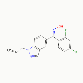 C=CCn1ncc2cc(/C(=N/O)c3ccc(F)cc3F)ccc21